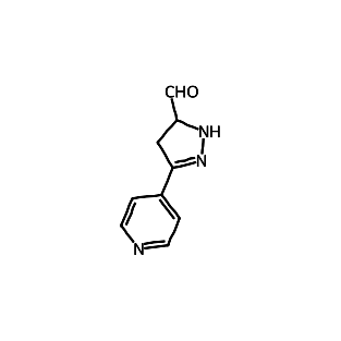 O=CC1CC(c2ccncc2)=NN1